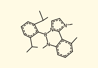 Cc1cccc2c1-c1n(cc[n+]1C)B(c1c(C(C)C)cccc1C(C)C)N2C